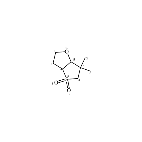 CC1(C)CS(=O)(=O)C2CCOC21